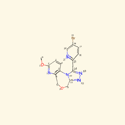 COc1ccc2c(n1)COCc1nnc(-c3ccc(Br)cn3)n1-2